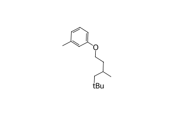 Cc1cccc(OCCC(C)CC(C)(C)C)c1